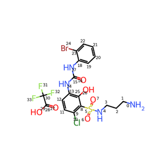 NCCCNS(=O)(=O)c1c(Cl)ccc(NC(=O)Nc2ccccc2Br)c1O.O=C(O)C(F)(F)F